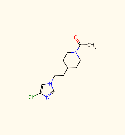 CC(=O)N1CCC(CCn2cnc(Cl)c2)CC1